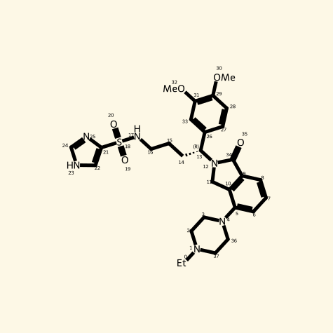 CCN1CCN(c2cccc3c2CN([C@H](CCCNS(=O)(=O)c2c[nH]cn2)c2ccc(OC)c(OC)c2)C3=O)CC1